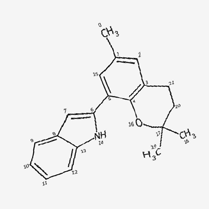 Cc1cc2c(c(-c3cc4ccccc4[nH]3)c1)OC(C)(C)CC2